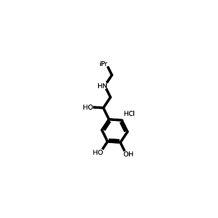 CC(C)CNCC(O)c1ccc(O)c(O)c1.Cl